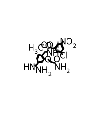 CC(=O)O.N=C(N)c1ccc(CNC(=O)c2cc(Cl)cc([N+](=O)[O-])c2)c(OCC(N)=O)c1